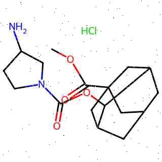 COC(=O)C12CC3CC(C1)C(OC(=O)N1CCC(N)C1)C(C3)C2.Cl